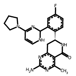 Cc1nc(N)nc2c1C(=O)N[C@@H](c1ccc(F)cc1C1N=C(N3CCCC3)C=CN1)C2